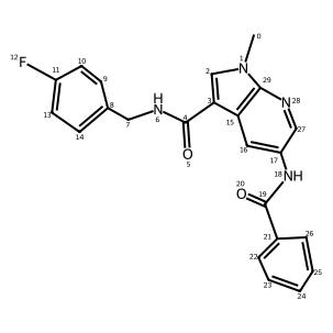 Cn1cc(C(=O)NCc2ccc(F)cc2)c2cc(NC(=O)c3ccccc3)cnc21